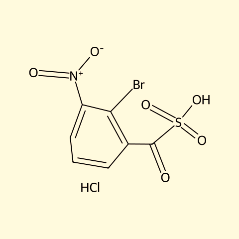 Cl.O=C(c1cccc([N+](=O)[O-])c1Br)S(=O)(=O)O